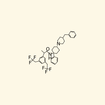 CC(C(=O)N[C@]1(c2ccccc2)CC[C@@H](N2CCC(Cc3ccccc3)CC2)CC1)c1cc(CC(F)(F)F)cc(CC(F)(F)F)c1